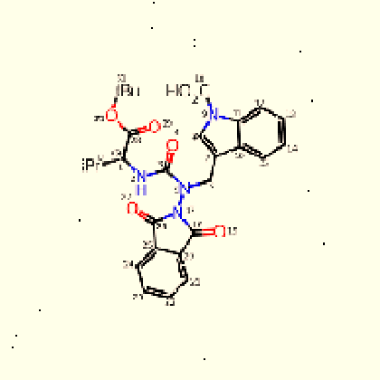 CC(C)[C@H](NC(=O)N(Cc1cn(C(=O)O)c2ccccc12)N1C(=O)c2ccccc2C1=O)C(=O)OC(C)(C)C